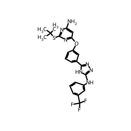 CC(C)(C)Sc1nc(N)cc(Oc2cccc(-c3nnc(Nc4cccc(C(F)(F)F)c4)[nH]3)c2)n1